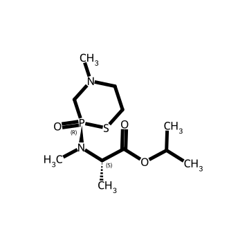 CC(C)OC(=O)[C@H](C)N(C)[P@@]1(=O)CN(C)CCS1